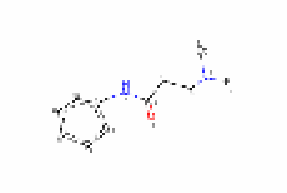 CCN(CC)CCC(=O)Nc1cc[c]cc1